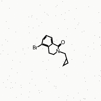 O=C1c2cccc(Br)c2CCN1CC1CC1